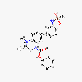 CCS(=O)(=O)Nc1cccc(-c2ccc3c(c2)N(C(=O)OC2CCCCC2)C[C@H](C)N3C(C)=O)c1